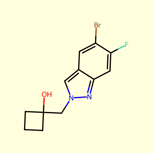 OC1(Cn2cc3cc(Br)c(F)cc3n2)CCC1